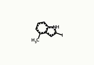 Cc1cccc2[nH]c(I)cc12